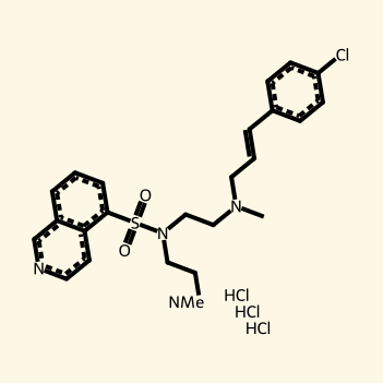 CNCCN(CCN(C)CC=Cc1ccc(Cl)cc1)S(=O)(=O)c1cccc2cnccc12.Cl.Cl.Cl